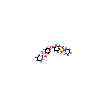 O=S(=O)(c1ccc(Oc2ccc(S(=O)(=O)N3CCCCC3)cc2)cc1)N1CCCCC1